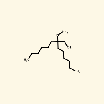 CCCCCCC(CC)(CCCCCC)NN